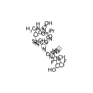 C#Cc1c(F)ccc2cc(O)cc(-c3ncc4c(N5CC6CCC(C5)N6)nc(OCCN5CCC(C)(COc6cc([C@H](C(=O)N7C[C@H](O)C[C@H]7C(=O)N[C@@H](C)c7ccc(-c8scnc8C)cc7)C(C)C)on6)CC5)nc4c3F)c12